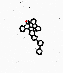 c1ccc(-c2cccc(-c3ccc4cc5c(cc4c3)C3(c4ccccc4-c4ccccc43)c3c-5c4ccccc4c4ccccc34)n2)nc1